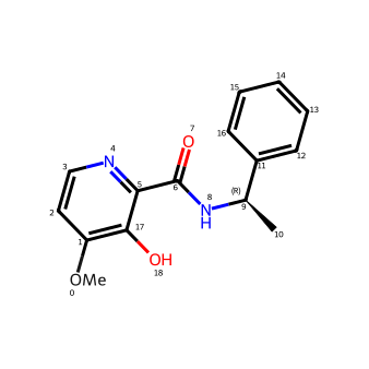 COc1ccnc(C(=O)N[C@H](C)c2ccccc2)c1O